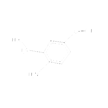 COc1ccc(N)c([SiH2]C)c1